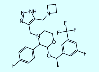 C[C@@H](OC1OCCN(Cc2nn[nH]c2CN2CCC2)C1c1ccc(F)cc1)c1cc(F)cc(C(F)(F)F)c1